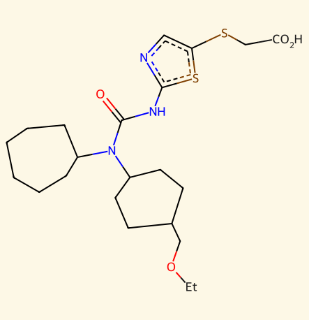 CCOCC1CCC(N(C(=O)Nc2ncc(SCC(=O)O)s2)C2CCCCCC2)CC1